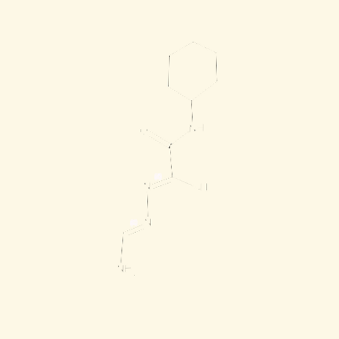 N/C=N/N=C(\S)C(=O)NC1CCCCC1